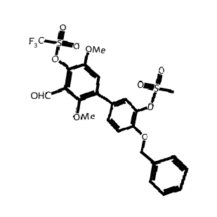 COc1cc(-c2ccc(OCc3ccccc3)c(OS(C)(=O)=O)c2)c(OC)c(C=O)c1OS(=O)(=O)C(F)(F)F